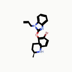 C=CCn1c(Oc2c(Br)ccc3c2CC[C@H](C)N3)nc2ccccc21